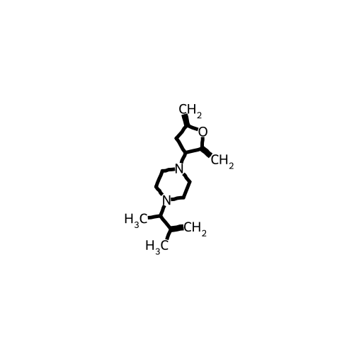 C=C1CC(N2CCN(C(C)C(=C)C)CC2)C(=C)O1